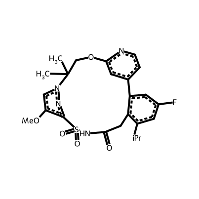 COc1cn2nc1S(=O)(=O)NC(=O)Cc1c(cc(F)cc1C(C)C)-c1ccnc(c1)OCC2(C)C